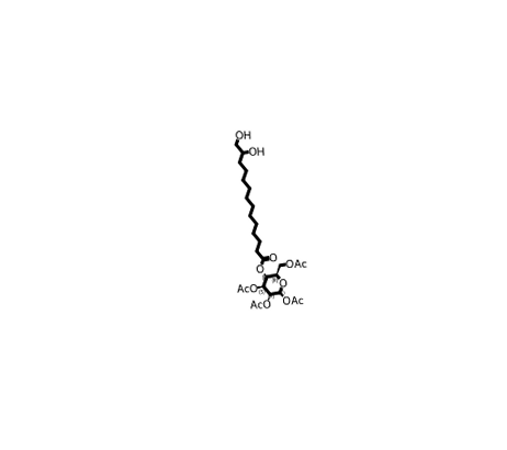 CC(=O)OC[C@H]1O[C@@H](OC(C)=O)[C@H](OC(C)=O)[C@@H](OC(C)=O)[C@@H]1OC(=O)CCCCCCCCCCCC(O)CO